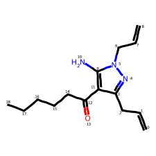 C=CCc1nn(CC=C)c(N)c1C(=O)CCCCC